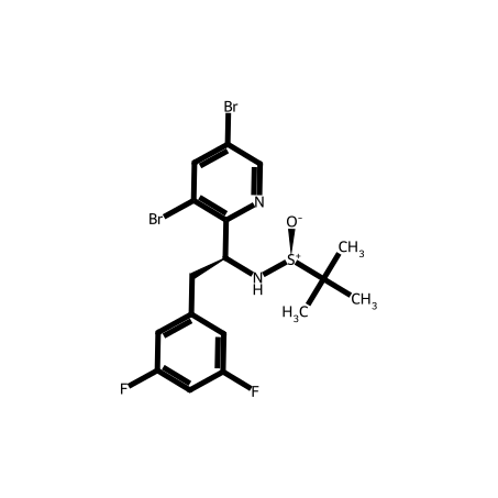 CC(C)(C)[S@+]([O-])N[C@@H](Cc1cc(F)cc(F)c1)c1ncc(Br)cc1Br